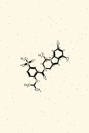 CC(C)Oc1ccc(S(C)(=O)=O)cc1C(=O)N1Cc2cc3c(Cl)cc(Cl)cc3n2[C@H](C)C1